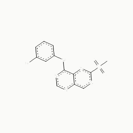 CS(=O)(=O)c1ncc2ncnc(Nc3cccc(Br)c3)c2n1